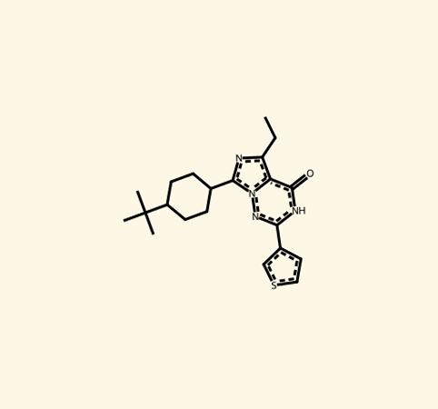 CCc1nc(C2CCC(C(C)(C)C)CC2)n2nc(-c3ccsc3)[nH]c(=O)c12